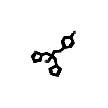 OC(CSc1ccc(Cl)cc1)(Cn1cnnc1)Cn1cncn1